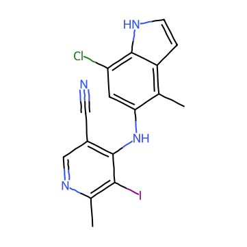 Cc1ncc(C#N)c(Nc2cc(Cl)c3[nH]ccc3c2C)c1I